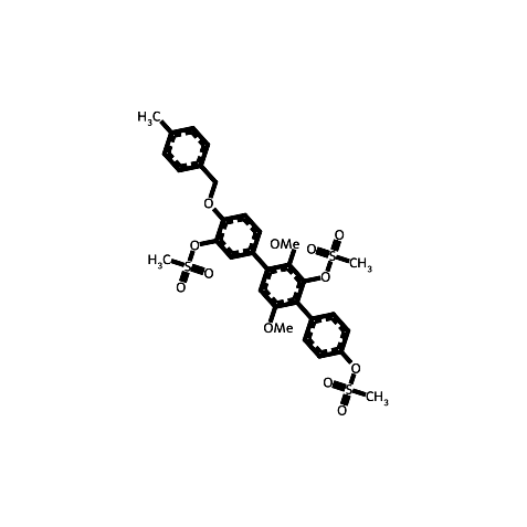 COc1cc(-c2ccc(OCc3ccc(C)cc3)c(OS(C)(=O)=O)c2)c(OC)c(OS(C)(=O)=O)c1-c1ccc(OS(C)(=O)=O)cc1